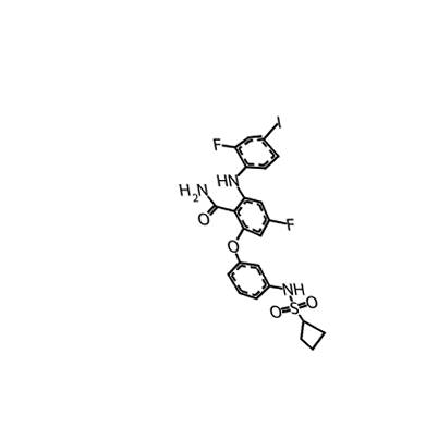 NC(=O)c1c(Nc2ccc(I)cc2F)cc(F)cc1Oc1cccc(NS(=O)(=O)C2CCC2)c1